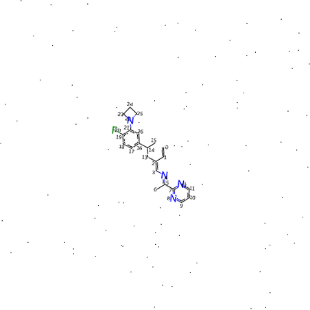 C=C/C(=C\N=C(/C)c1ncccn1)CC(C)c1ccc(F)c(N2CCC2)c1